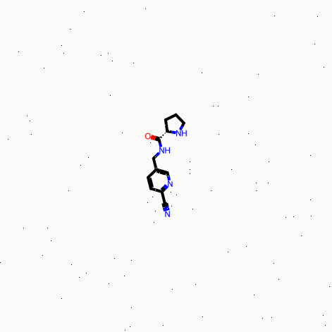 N#Cc1ccc(CNC(=O)[C@@H]2CCCN2)cn1